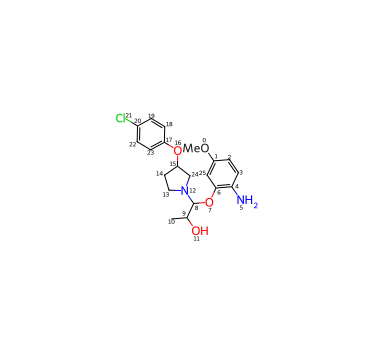 COc1ccc(N)c(OC(C(C)O)N2CCC(Oc3ccc(Cl)cc3)C2)c1